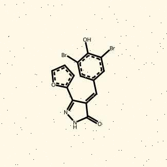 O=C1NN=C(c2ccco2)/C1=C\c1cc(Br)c(O)c(Br)c1